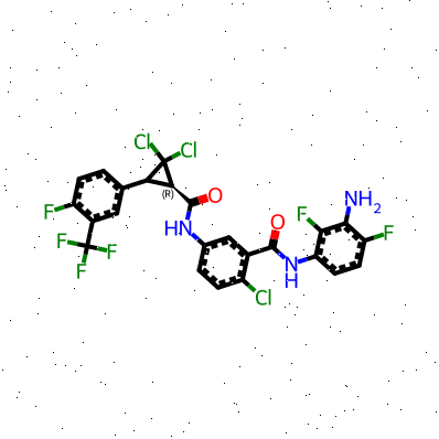 Nc1c(F)ccc(NC(=O)c2cc(NC(=O)[C@H]3C(c4ccc(F)c(C(F)(F)F)c4)C3(Cl)Cl)ccc2Cl)c1F